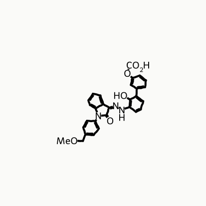 COCc1ccc(N2C(=O)C(=NNc3cccc(-c4cccc(OC(=O)O)c4)c3O)c3ccccc32)cc1